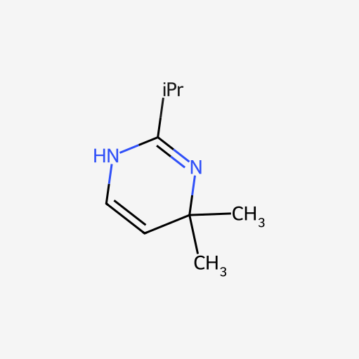 CC(C)C1=NC(C)(C)C=CN1